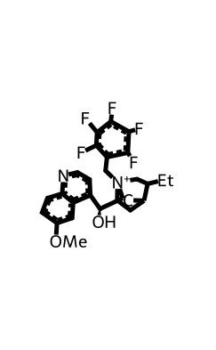 CCC1C[N+]2(Cc3c(F)c(F)c(F)c(F)c3F)CCC1CC2[C@@H](O)c1ccnc2ccc(OC)cc12